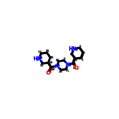 O=C(C1CCCNC1)N1CCN(C(=O)C2CCCNC2)CC1